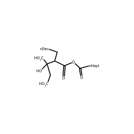 CCCCCCCCCCCC(C(=O)OC(=O)CCCCCCC)C(O)(CC(=O)O)C(=O)O